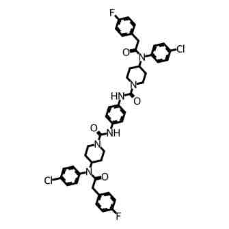 O=C(Nc1ccc(NC(=O)N2CCC(N(C(=O)Cc3ccc(F)cc3)c3ccc(Cl)cc3)CC2)cc1)N1CCC(N(C(=O)Cc2ccc(F)cc2)c2ccc(Cl)cc2)CC1